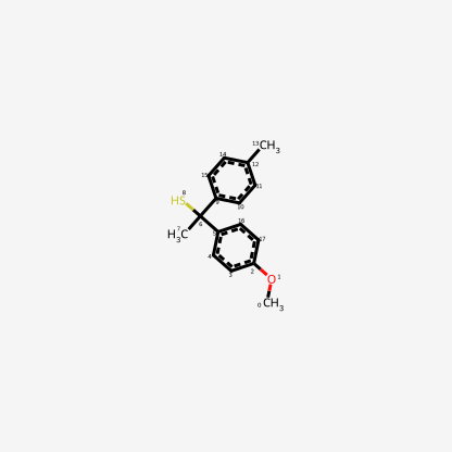 COc1ccc(C(C)(S)c2ccc(C)cc2)cc1